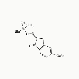 COc1ccc2c(c1)C/C(=N/O[Si](C)(C)C(C)(C)C)C2=O